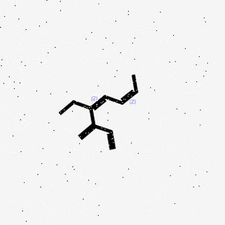 C=CC(=C)/C(=C\C=C/C)CC